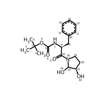 CC(C)(C)OC(=O)N[C@@H](Cc1ccccc1)C(=O)N1CC[C@@H](O)C1O